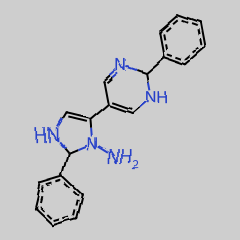 NN1C(C2=CNC(c3ccccc3)N=C2)=CNC1c1ccccc1